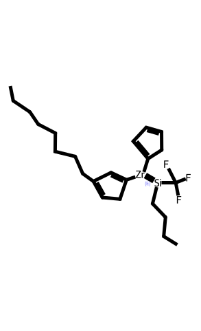 CCCCCCCCC1=CC[C](/[Zr]([C]2=CC=CC2)=[Si](\CCCC)C(F)(F)F)=C1